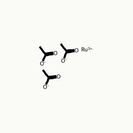 CC(=O)[O-].CC(=O)[O-].CC(=O)[O-].[Ru+3]